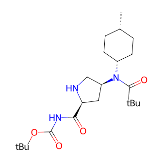 CC(C)(C)OC(=O)NC(=O)[C@@H]1C[C@H](N(C(=O)C(C)(C)C)[C@H]2CC[C@@H](C)CC2)CN1